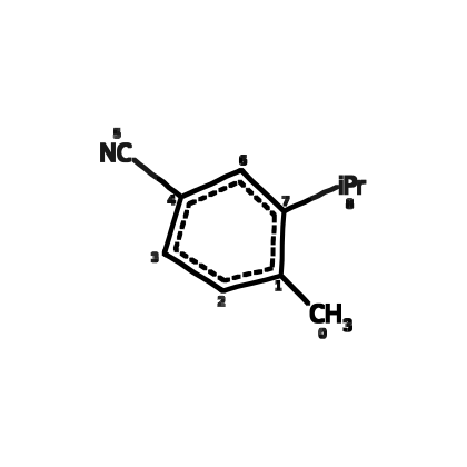 Cc1ccc(C#N)cc1C(C)C